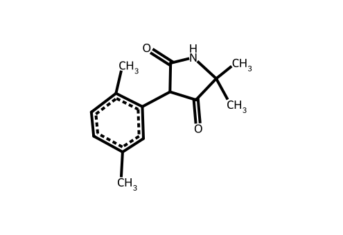 Cc1ccc(C)c(C2C(=O)NC(C)(C)C2=O)c1